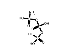 NP(=O)(O)OP(=O)(O)OP(=O)(O)O